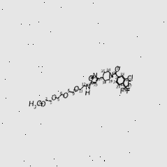 COCCOCCOCCOCCNc1cc(C2CCN(C(=O)c3ccc(C(F)(F)F)c(Cl)c3)CC2)no1